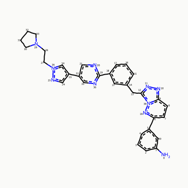 Nc1cccc(-c2ccc3nnc(Cc4cccc(-c5ncc(-c6cnn(CCN7CCCC7)c6)cn5)c4)n3n2)c1